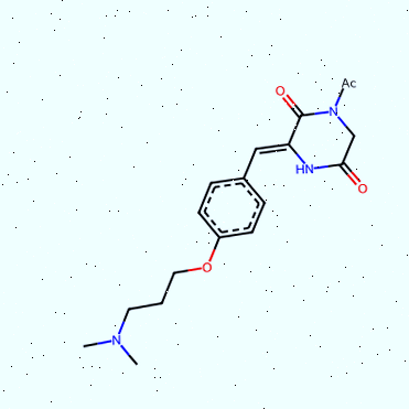 CC(=O)N1CC(=O)N/C(=C\c2ccc(OCCCN(C)C)cc2)C1=O